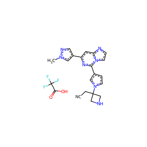 Cn1cc(-c2cc3nccn3c(-c3ccn(C4(CC#N)CNC4)c3)n2)cn1.O=C(O)C(F)(F)F